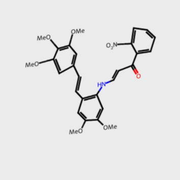 COc1cc(C=Cc2cc(OC)c(OC)c(OC)c2)c(NC=CC(=O)c2ccccc2[N+](=O)[O-])cc1OC